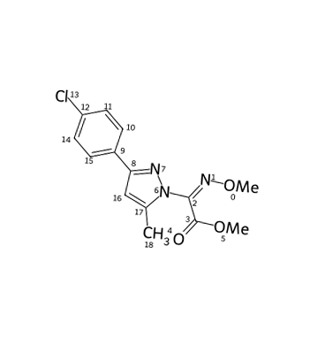 CON=C(C(=O)OC)n1nc(-c2ccc(Cl)cc2)cc1C